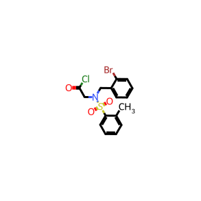 Cc1ccccc1S(=O)(=O)N(CC(=O)Cl)Cc1ccccc1Br